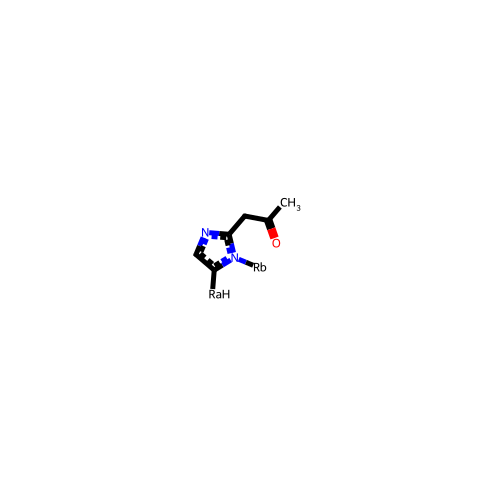 CC(=O)Cc1nc[c]([RaH])[n]1[Rb]